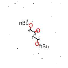 CCCCOCCC(=O)COCCCC